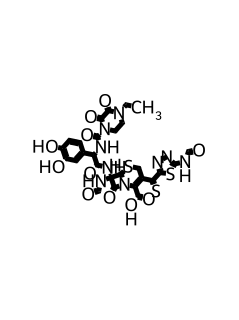 CCN1CCN(C(=O)NC(C(=O)N[C@]2(NC=O)C(=O)N3C(C(=O)O)=C(C(=S)c4nnc(NC=O)s4)CS[C@H]32)c2ccc(O)c(O)c2)C(=O)C1=O